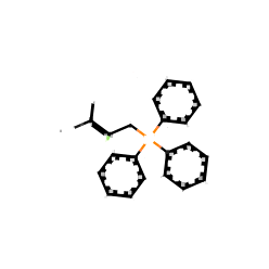 CCCC/C(C)=C(\F)C[P+](c1ccccc1)(c1ccccc1)c1ccccc1.[Br-]